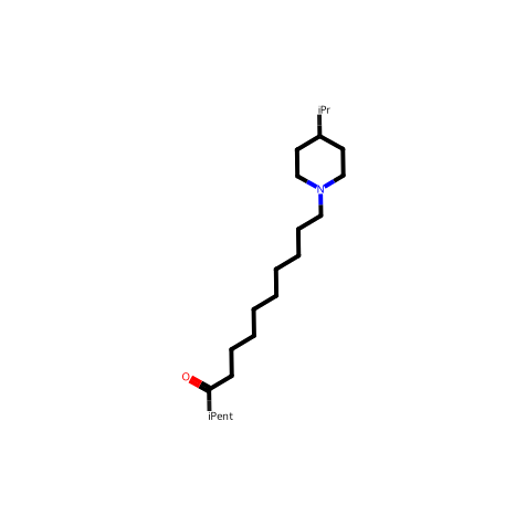 CCCC(C)C(=O)CCCCCCCCCN1CCC(C(C)C)CC1